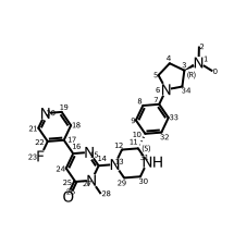 CN(C)[C@@H]1CCN(c2ccc([C@H]3CN(c4nc(-c5ccncc5F)cc(=O)n4C)CCN3)cc2)C1